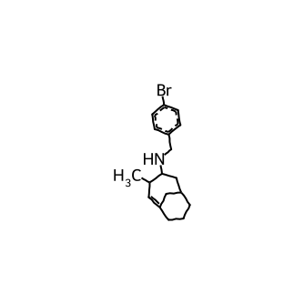 CC1C=C2CCCC(C2)CC1NCc1ccc(Br)cc1